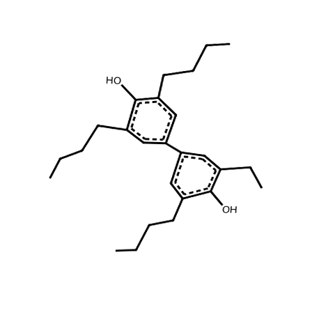 CCCCc1cc(-c2cc(CCCC)c(O)c(CCCC)c2)cc(CC)c1O